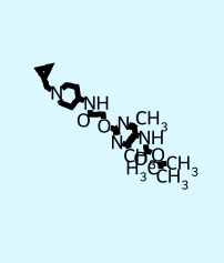 Cc1nc(OCC(=O)NC2CCN(CC3CC3)CC2)nc(C)c1NC(=O)OC(C)(C)C